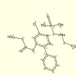 CCCCCCCCSC(=O)Oc1cc(Cl)nnc1-c1ccccc1.O=C(O)CNCP(=O)(O)O